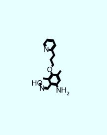 Cc1cc(N)c(/C=N\O)c(C)c1OCCCc1ccccn1